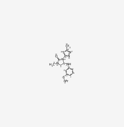 CCCSc1cccc(NC2CN(C)C(=O)N2c2nnc(C(F)(F)F)s2)c1